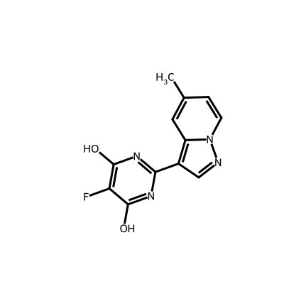 Cc1ccn2ncc(-c3nc(O)c(F)c(O)n3)c2c1